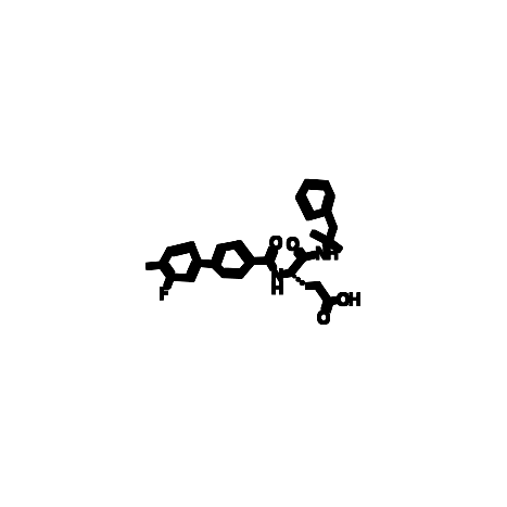 Cc1ccc(-c2ccc(C(=O)N[C@@H](CCC(=O)O)C(=O)NC(C)(C)Cc3ccccc3)cc2)cc1F